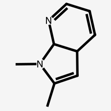 CC1=CC2C=CC=NC2N1C